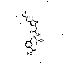 N=CNCC1=CN(CC(=O)N[C@H]2Cc3cccc(C(=O)O)c3OB2O)NN1